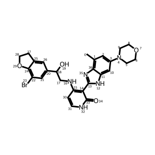 Cc1cc(N2CCOCC2)cc2[nH]c(-c3c(NCC(O)c4cc(Br)c5c(c4)CCO5)cc[nH]c3=O)nc12